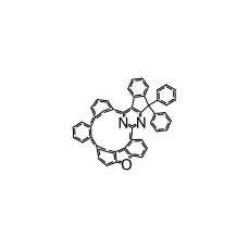 c1ccc(C2(c3ccccc3)c3ccccc3-c3c2nc2nc3c3cccc(c3)c3ccccc3c3ccc4oc5cccc2c5c4c3)cc1